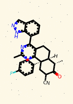 Cc1nc(-c2cccc3cn[nH]c23)c2c(n1)[C@]1(c3ccc(F)cc3)CC(C#N)C(=O)[C@@H](C)[C@@H]1CC2